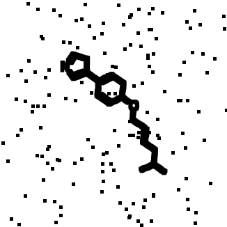 CC(C)C/C=C/COC1C=CC(C2=CN=CC2)=CC1